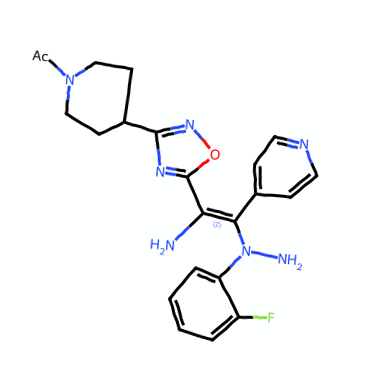 CC(=O)N1CCC(c2noc(/C(N)=C(\c3ccncc3)N(N)c3ccccc3F)n2)CC1